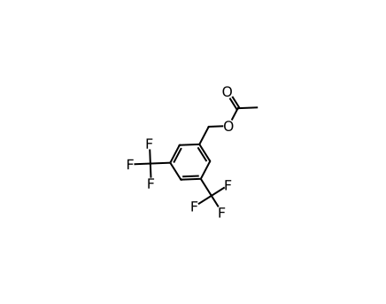 CC(=O)OCc1cc(C(F)(F)F)cc(C(F)(F)F)c1